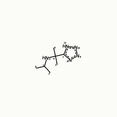 CC(C)NC(C)(C)c1nnn[nH]1